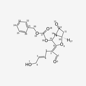 O=CC(CC=CCO)=C1O[C@@H]2CC(=O)N2C1OC(=O)OCc1ccccc1